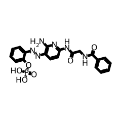 Nc1nc(NC(=O)CNC(=O)c2ccccc2)ccc1/N=N/c1ccccc1OP(=O)(O)O